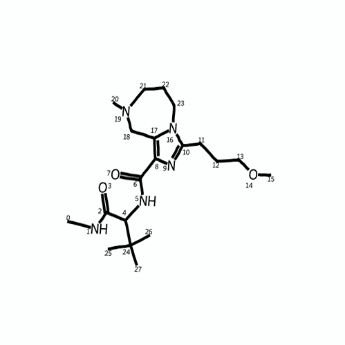 CNC(=O)C(NC(=O)c1nc(CCCOC)n2c1CN(C)CCC2)C(C)(C)C